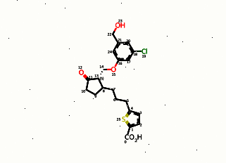 O=C(O)c1ccc(CCCC2CCC(=O)[C@@H]2COc2cc(Cl)cc(CO)c2)s1